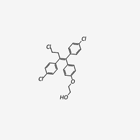 OCCOc1ccc(/C(=C(/CCCl)c2ccc(Cl)cc2)c2ccc(Cl)cc2)cc1